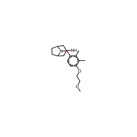 COCCOc1ccc(CN2C3CCC2CC(N)C3)c(C)c1C